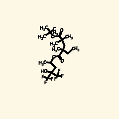 CCC(C)(CC(C)(C)C(=O)OC(C)(C)C)C(=O)OC(C)CC(O)(C(F)(F)F)C(F)(F)F